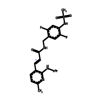 CCCNc1nc(C(F)(F)F)ccc1/C=C/C(=O)NCc1cc(F)c(NS(C)(=O)=O)cc1F